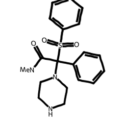 CNC(=O)C(c1ccccc1)(N1CCNCC1)S(=O)(=O)c1ccccc1